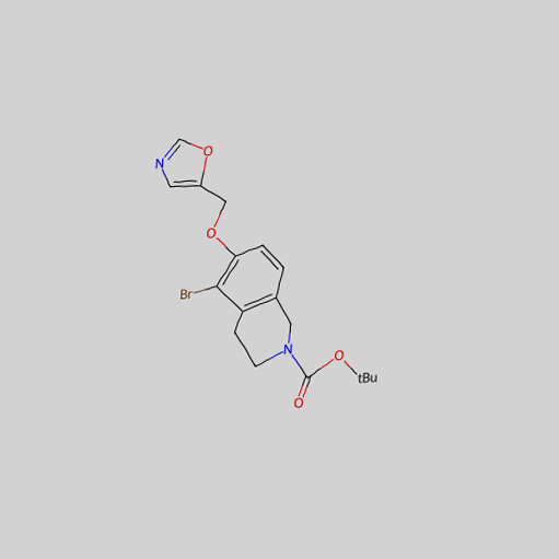 CC(C)(C)OC(=O)N1CCc2c(ccc(OCc3cnco3)c2Br)C1